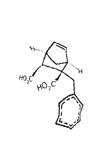 O=C(O)[C@H]1[C@H]2C=C[C@H](C2)[C@@]1(Cc1ccccc1)C(=O)O